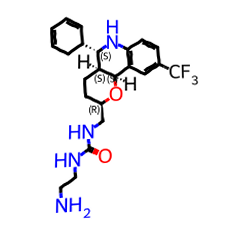 NCCNC(=O)NC[C@H]1CC[C@@H]2[C@H](O1)c1cc(C(F)(F)F)ccc1N[C@H]2C1C=CC=CC1